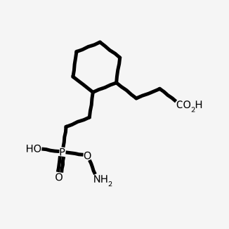 NOP(=O)(O)CCC1CCCCC1CCC(=O)O